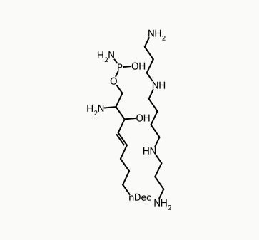 CCCCCCCCCCCCCC=CC(O)C(N)COP(N)O.NCCCNCCCCNCCCN